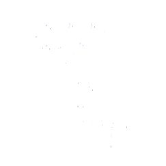 Nc1nc(SCCNc2ccc(O)c(C(=O)O)c2)c2[nH]cnc2n1